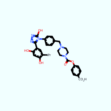 CC(C)c1cc(-c2nnc(O)n2-c2ccc(CN3CCN(C(=O)Oc4ccc(C(=O)O)cc4)CC3)cc2)c(O)cc1O